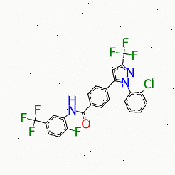 O=C(Nc1cc(C(F)(F)F)ccc1F)c1ccc(-c2cc(C(F)(F)F)nn2-c2ccccc2Cl)cc1